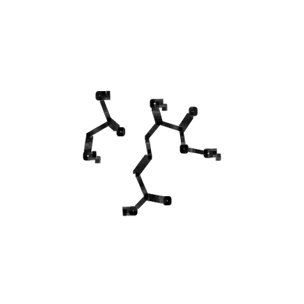 C=C(CC=CC(=O)O)C(=O)OC.C=CC(=O)O